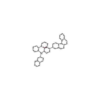 c1ccc(-c2ccccc2N(c2ccc(-c3ccc4c(ccc5ccc6ccccc6c54)c3)cc2)c2ccc3ccccc3c2)cc1